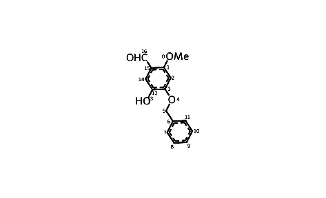 COc1cc(OCc2ccccc2)c(O)cc1C=O